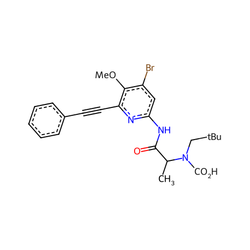 COc1c(Br)cc(NC(=O)C(C)N(CC(C)(C)C)C(=O)O)nc1C#Cc1ccccc1